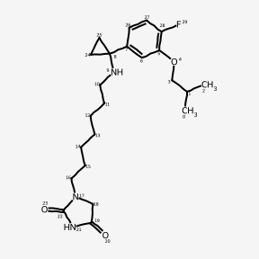 CC(C)COc1cc(C2(NCCCCCCCN3CC(=O)NC3=O)CC2)ccc1F